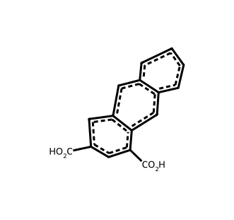 O=C(O)c1cc(C(=O)O)c2cc3ccccc3cc2c1